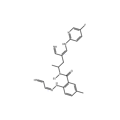 CCN(C(=O)c1cc(C)ccc1N/N=C\C=N)C(C)C/C(C=N)=C/Nc1ccc(F)cn1